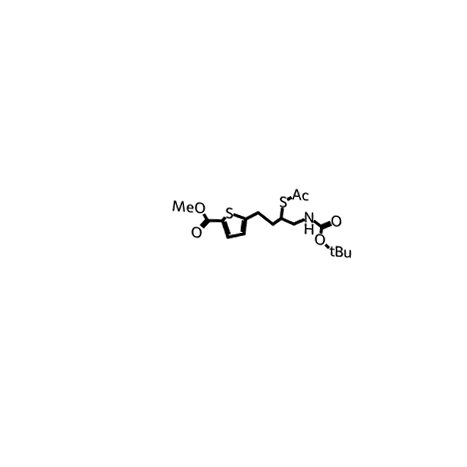 COC(=O)c1ccc(CCC(CNC(=O)OC(C)(C)C)SC(C)=O)s1